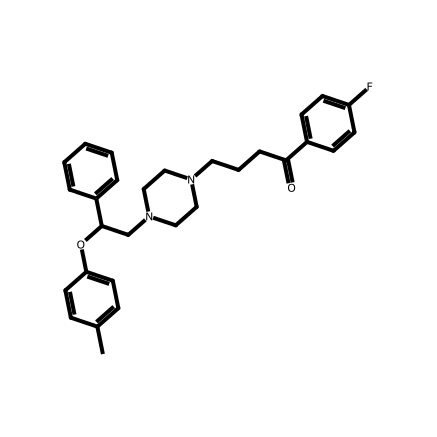 Cc1ccc(OC(CN2CCN(CCCC(=O)c3ccc(F)cc3)CC2)c2ccccc2)cc1